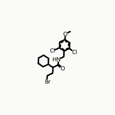 COc1cc(Cl)c(CNC(=O)C(CCBr)C2CCCCC2)c(Cl)c1